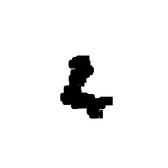 CC[C@H](C)[C@H](NC(=O)COCCNC(=O)[C@@H](CCC(=O)O)NC(=O)[C@@H](CCC(=O)O)NC(=O)CN1CCN(C(=O)CN2CCN(CC(=O)O)CCN(CC(=O)O)CC2)CC1)C(=O)N[C@H]1CCc2cccc3c2N(C1=O)[C@H](C(=O)NC1CC(=O)OC1O)C3